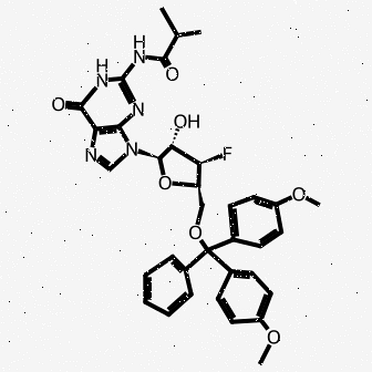 COc1ccc(C(OC[C@H]2O[C@@H](n3cnc4c(=O)[nH]c(NC(=O)C(C)C)nc43)[C@H](O)[C@H]2F)(c2ccccc2)c2ccc(OC)cc2)cc1